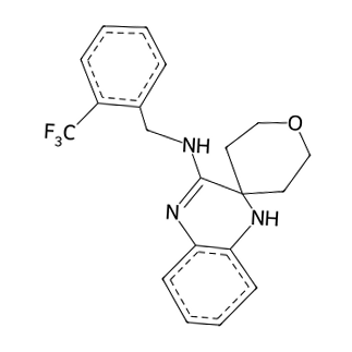 FC(F)(F)c1ccccc1CNC1=Nc2ccccc2NC12CCOCC2